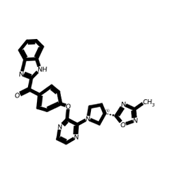 Cc1noc([C@H]2CCN(c3nccnc3Oc3ccc(C(=O)c4nc5ccccc5[nH]4)cc3)C2)n1